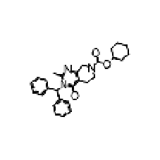 Cc1nc2c(c(=O)n1C(c1ccccc1)c1ccccc1)CCN(C(=O)OC1CCCCC1)C2